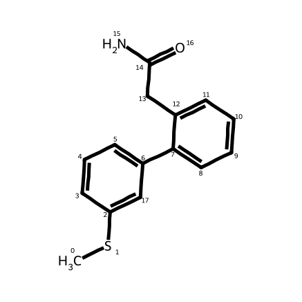 CSc1cccc(-c2ccccc2CC(N)=O)c1